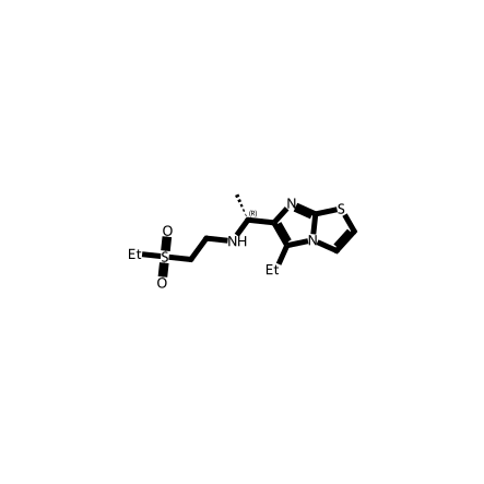 CCc1c([C@@H](C)NCCS(=O)(=O)CC)nc2sccn12